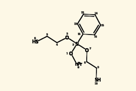 CCCO[Si](OCCS)(OCCS)c1ccccc1